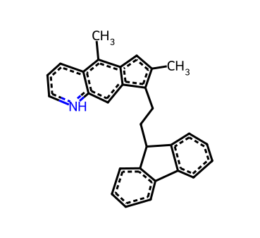 Cc1cc2c(C)c3ccc[nH]c3cc2c1CCC1c2ccccc2-c2ccccc21